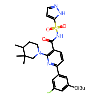 CC(C)COc1cc(F)cc(-c2ccc(C(=O)NS(=O)(=O)c3ccn[nH]3)c(N3CCC(C)C(C)(C)C3)n2)c1